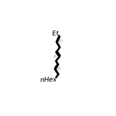 CC/C=C/C/C=C/C/C=C/CCCCCCC